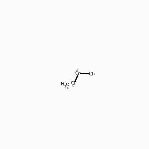 O.[Cl][Cr][Cl]